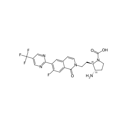 N[C@H]1CCN(C(=O)O)[C@@H]1CCn1ccc2cc(-c3ncc(C(F)(F)F)cn3)c(F)cc2c1=O